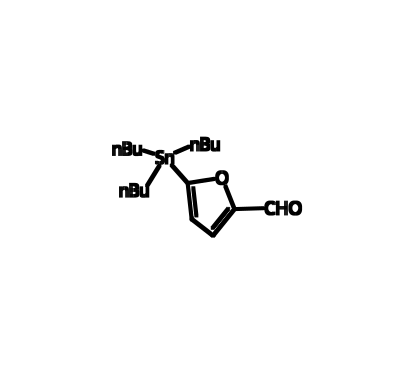 CCC[CH2][Sn]([CH2]CCC)([CH2]CCC)[c]1ccc(C=O)o1